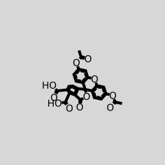 CC(=O)Oc1ccc2c(c1)Oc1cc(OC(C)=O)ccc1C21OC(=O)c2c1ccc(C(=O)O)c2C(=O)O